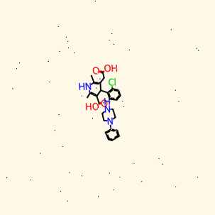 CC1=C(CC(=O)O)C(c2ccccc2Cl)C(C(=O)O)=C(C)N1.c1ccc(N2CCNCC2)cc1